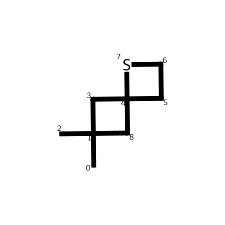 CC1(C)CC2(CCS2)C1